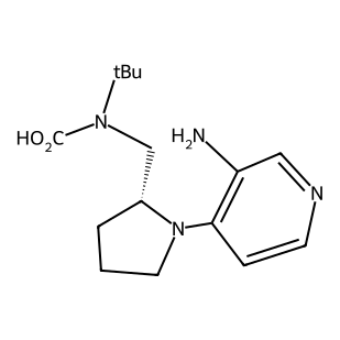 CC(C)(C)N(C[C@H]1CCCN1c1ccncc1N)C(=O)O